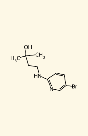 CC(C)(O)CCNc1ccc(Br)cn1